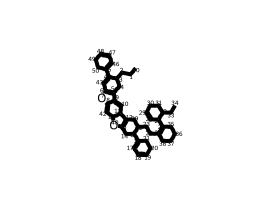 CCCC1Cc2c(oc3c2=CC2C4=C(CC(C5=CC=CCC5)C(CCC5=C(C6C=CCCC6CC)CCCC5)C4)OC2C=3)C=C1C1=CC=CCC1